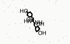 [NH]C(=Cc1ccc(O)cc1O)C([NH])=Cc1ccc(O)cc1O